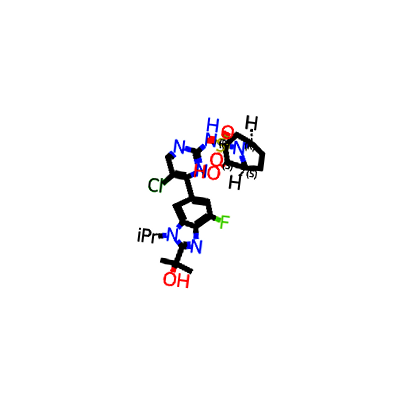 CC(C)n1c(C(C)(C)O)nc2c(F)cc(-c3nc(N[C@@H]4C[C@H]5CC[C@@H]([C@H]4O)N5S(C)(=O)=O)ncc3Cl)cc21